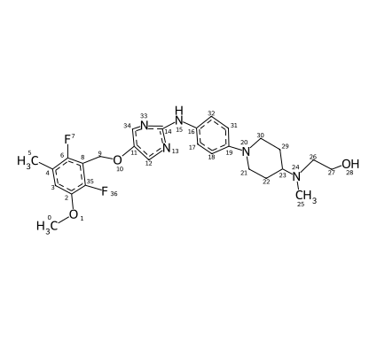 COc1cc(C)c(F)c(COc2cnc(Nc3ccc(N4CCC(N(C)CCO)CC4)cc3)nc2)c1F